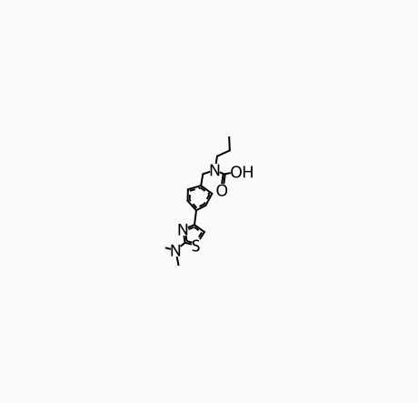 CCCN(Cc1ccc(-c2csc(N(C)C)n2)cc1)C(=O)O